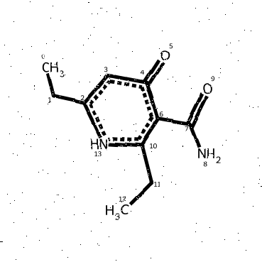 CCc1cc(=O)c(C(N)=O)c(CC)[nH]1